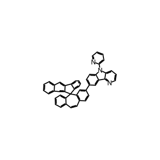 C1=Cc2ccc(-c3ccc4c(c3)c3ncccc3n4-c3ccccn3)cc2C2(c3ccccc31)c1ccccc1-c1cc3ccccc3cc12